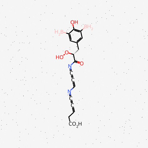 Bc1cc(C[C@@H](OO)C(=O)N=C=C=CN=C=C=CCC(=O)O)cc(B)c1O